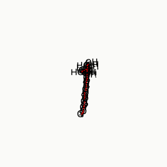 CC(=O)CCOCCOCCOCCOCCOCCOCCOCCOCCOCCOCCOCCOCCNC(=O)NCCN(C[C@H](O)[C@@H](O)[C@H](O)[C@H](O)CO)C[C@H](O)[C@@H](O)[C@H](O)[C@H](O)CO